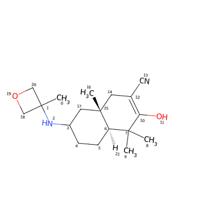 CC1(NC2CC[C@@H]3C(C)(C)C(O)=C(C#N)C[C@@]3(C)C2)COC1